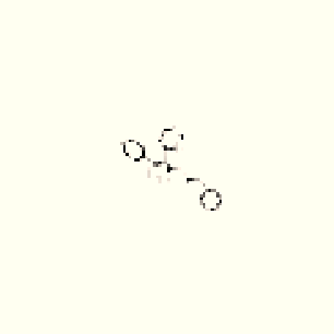 O=C(Cc1ccccc1Br)Nc1onc(-c2ccc(F)cc2)c1-c1ccncn1